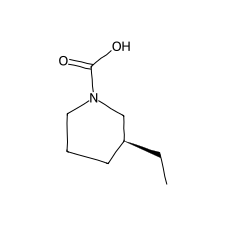 CC[C@H]1CCCN(C(=O)O)C1